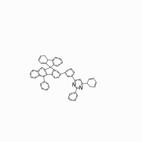 C1=CCC(c2cc(-c3cccc(-c4ccc5c(c4)C4(C6=CC=CCC6c6ccccc64)c4cc6ccccc6c(-c6ccccc6)c4-5)c3)nc(-c3ccccc3)n2)C=C1